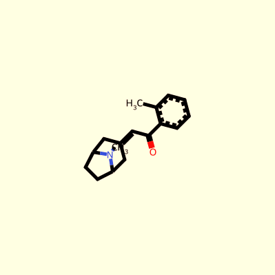 Cc1ccccc1C(=O)C=C1CC2CCC(C1)N2C